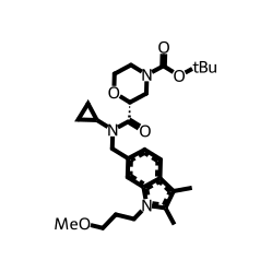 COCCCn1c(C)c(C)c2ccc(CN(C(=O)[C@H]3CN(C(=O)OC(C)(C)C)CCO3)C3CC3)cc21